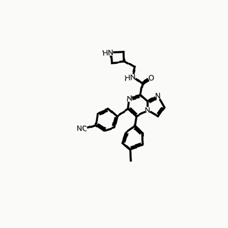 Cc1ccc(-c2c(-c3ccc(C#N)cc3)nc(C(=O)NCC3CNC3)c3nccn23)cc1